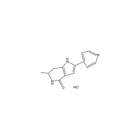 CC1Cc2[nH]c(-c3ccncc3)cc2C(=O)N1.Cl